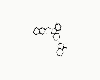 O=c1[nH]c(N2CCC3(CC2)CN(Cc2cc4ccccc4cn2)c2ccccc23)nc2c1CCCC2